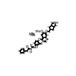 Br.Br.COc1cc2c(Oc3ccc(NC(=S)NC(=O)Cc4ccccc4)cc3F)ncnc2cc1OCC1CC2CNCC2C1